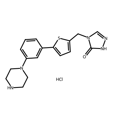 Cl.O=c1[nH]ncn1Cc1ccc(-c2cccc(N3CCNCC3)c2)s1